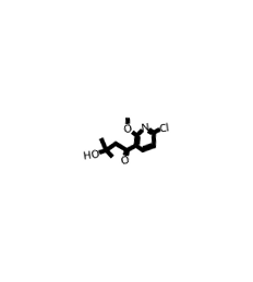 COc1nc(Cl)ccc1C(=O)CC(C)(C)O